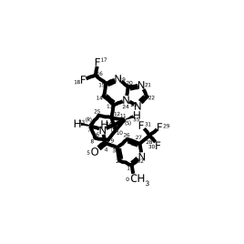 Cc1cc(C(=O)N2[C@@H]3CC[C@@H]4[C@H]2C4(c2cc(C(F)F)nc4ncnn24)C3)cc(C(F)(F)F)n1